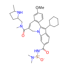 COc1ccc2c(c1)C=C(C(=O)N(C)CC1CCC(C)N1)Cn1c-2c(C2CCCCC2)c2ccc(C(=O)N[S+]([O-])N(C)C)cc21